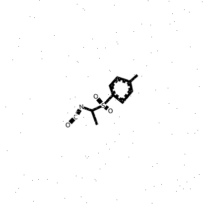 Cc1ccc(S(=O)(=O)C(C)N=C=O)cc1